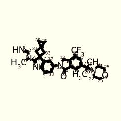 CN(C=N)C(=N)C1(c2cccc(N3Cc4c(cc(C(C)(C)N5CCOCC5)cc4C(F)(F)F)C3=O)c2)CC2(CC2)C1